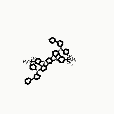 CC(C)(C)c1ccc2c(c1)c1c(N(c3ccccc3)c3cccc(-c4ccccc4)c3)ccc3c4cc5c(cc4n2c31)c1ccc(N(c2ccccc2)c2cccc(-c3ccccc3)c2)c2c3cc(C(C)(C)C)ccc3n5c12